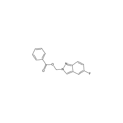 O=C(OCn1cc2cc(F)ccc2n1)c1ccccc1